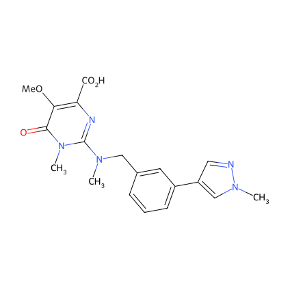 COc1c(C(=O)O)nc(N(C)Cc2cccc(-c3cnn(C)c3)c2)n(C)c1=O